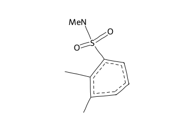 CNS(=O)(=O)c1cccc(C)c1C